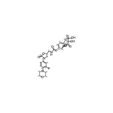 O=C(NC[C@H]1CN(c2ccc(N3CCOCC3)c(F)c2)C(=O)O1)Oc1ccc(CC(O)([PH](=O)O)[PH](=O)O)cc1